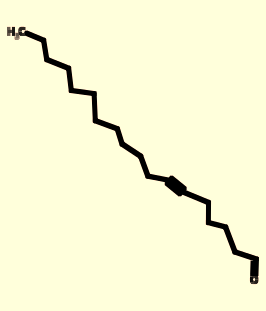 CCCCCCCCCCCC#CCCCCC=O